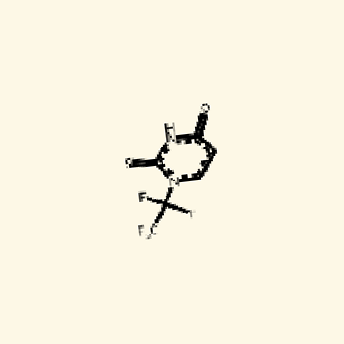 O=c1ccn(C(F)(F)C(F)(F)F)c(=S)[nH]1